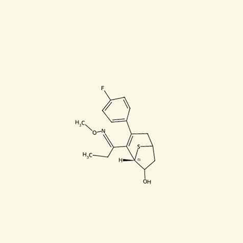 CCC(=NOC)C1=C(c2ccc(F)cc2)CC2CC(O)[C@H]1S2